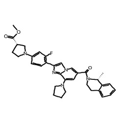 COC(=O)[C@H]1CCN(c2ccc(-c3cn4cc(C(=O)N5CCc6ccccc6[C@H]5C)cc(N5CCCC5)c4n3)c(F)c2)C1